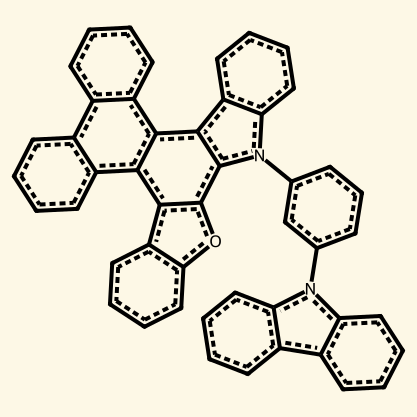 c1cc(-n2c3ccccc3c3ccccc32)cc(-n2c3ccccc3c3c4c5ccccc5c5ccccc5c4c4c5ccccc5oc4c32)c1